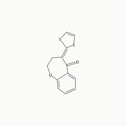 O=C1C(=C2SC=CS2)CCOc2ccccc21